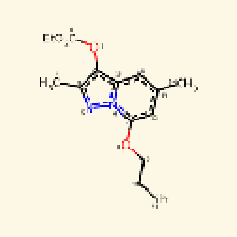 CCOC(=O)Oc1c(C)nn2c(OCCC(C)C)cc(C)cc12